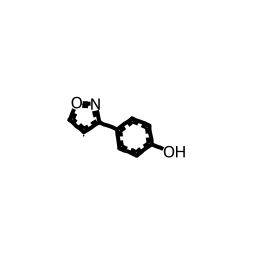 Oc1ccc(-c2[c]con2)cc1